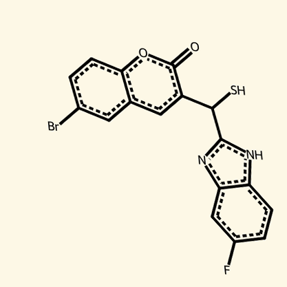 O=c1oc2ccc(Br)cc2cc1C(S)c1nc2cc(F)ccc2[nH]1